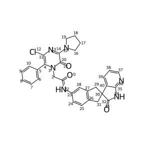 O=C(Cn1c(-c2ccccc2)c(Cl)nc(N2CCCC2)c1=O)Nc1ccc2c(c1)CC1(C2)C(=O)Nc2ncccc21